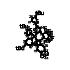 CC(C)(C)c1ccc(C2(c3ccc(C(C)(C)C)s3)c3oc4cc5c(cc4c3C3=C(c4cc(-c6ccc(C(C)(C)C)s6)sc42)C(F)(F)C(F)(F)C3(F)F)OCO5)cc1